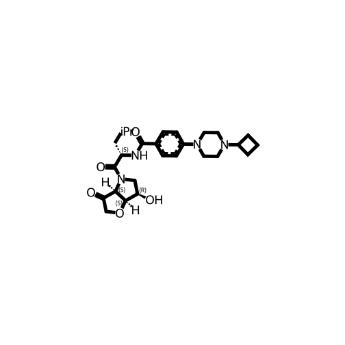 CC(C)C[C@H](NC(=O)c1ccc(N2CCN(C3CCC3)CC2)cc1)C(=O)N1C[C@@H](O)[C@H]2OCC(=O)[C@H]21